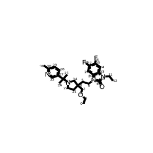 CCOCC1(CCn2c(=O)n(CC)c3cc(F)c(F)cc32)CCN(C(C)(C)c2ccc(C)nc2)C1